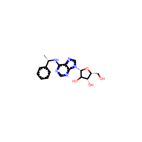 C[C@H](Nc1ncnc2c1ncn2[C@@H]1O[C@H](CO)[C@H](O)C1O)c1ccccc1